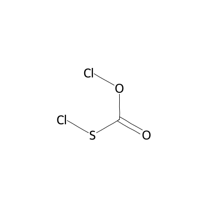 O=C(OCl)SCl